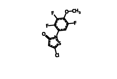 COc1c(F)cc(-n2sc(Cl)cc2=O)c(F)c1F